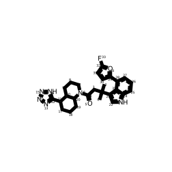 CC(C)(CC(=O)N1CCCC2C(c3nnn[nH]3)CCCC21)c1c[nH]c2cccc(-c3ccc(F)o3)c12